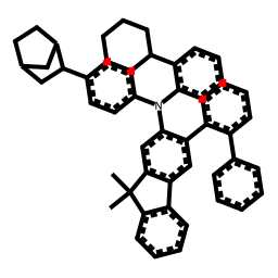 CC1(C)c2ccccc2-c2cc(-c3ccccc3-c3ccccc3)c(N(c3ccc(C4CC5CCC4C5)cc3)c3ccccc3C3CCCCC3)cc21